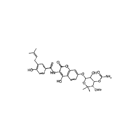 C=C(Nc1c(O)c2ccc(OC3OC(C)(C)C(OC)C(OC(N)=O)C3O)cc2oc1=O)c1ccc(O)c(CC=C(C)C)c1